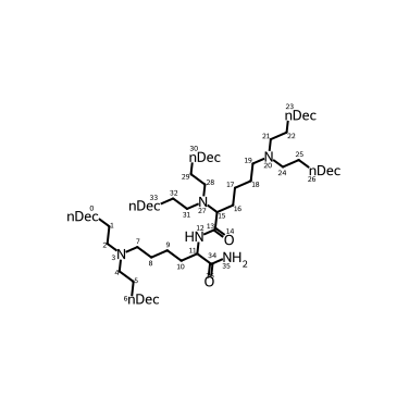 CCCCCCCCCCCCN(CCCCCCCCCCCC)CCCCC(NC(=O)C(CCCCN(CCCCCCCCCCCC)CCCCCCCCCCCC)N(CCCCCCCCCCCC)CCCCCCCCCCCC)C(N)=O